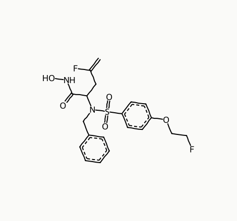 C=C(F)CC(C(=O)NO)N(Cc1ccccc1)S(=O)(=O)c1ccc(OCCF)cc1